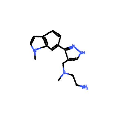 CN(CCN)Cc1c[nH]nc1-c1ccc2ccn(C)c2c1